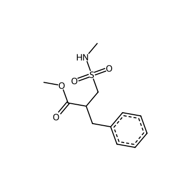 CNS(=O)(=O)CC(Cc1ccccc1)C(=O)OC